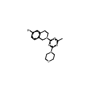 Cc1nc(N2CCOCC2)nc(N2CCc3cc(Br)ccc3C2)n1